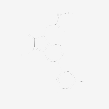 CCCCNC(=O)Cn1c(=O)n(C)c2cc(-c3cc(F)cc(Cl)c3)cnc21